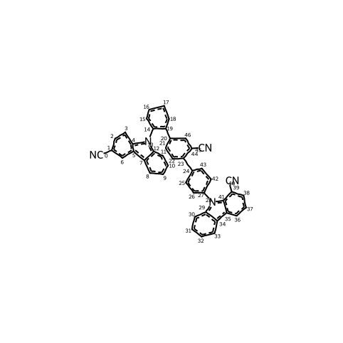 N#Cc1ccc2c(c1)c1ccccc1n2-c1ccccc1-c1ccc(-c2ccc(-n3c4ccccc4c4cccc(C#N)c43)cc2)c(C#N)c1